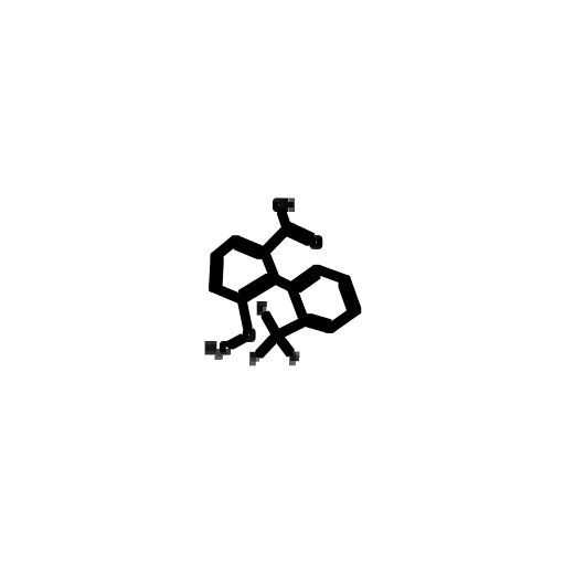 COc1cccc(C(=O)O)c1-c1ccccc1C(F)(F)F